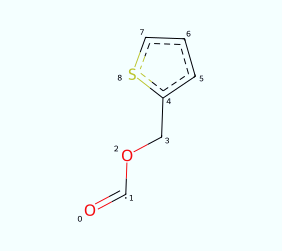 O=[C]OCc1cccs1